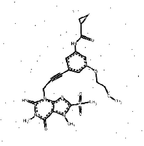 COCCOc1cc(C#CCn2c(=N)n(C)c(=O)c3c2nc(S(C)(=O)=O)n3C)cc(NC(=O)C2CC2)c1